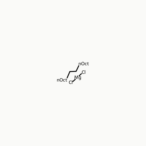 [CH2]CCCCCCCCCCCCCCCCC.[Cl][Mg][Cl]